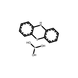 OP(O)O.c1ccc2c(c1)Nc1ccccc1S2